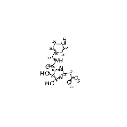 COC(Cc1nc(O)c(O)c(C(=O)NCc2ccc(F)cc2)n1)OC